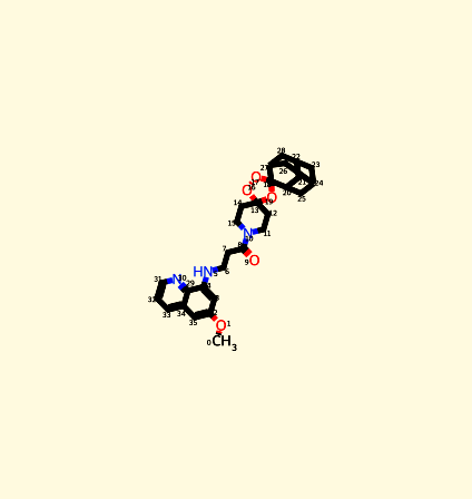 COc1cc(NCCC(=O)N2CCC3(CC2)OOC2(O3)C3CC4CC(C3)CC2C4)c2ncccc2c1